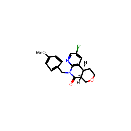 COc1ccc(CN2C(=O)[C@H]3COCC[C@@H]3c3cc(Br)cnc32)cc1